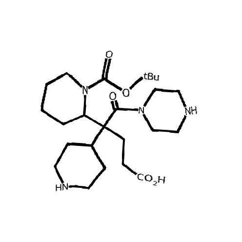 CC(C)(C)OC(=O)N1CCCCC1C(CCC(=O)O)(C(=O)N1CCNCC1)C1CCNCC1